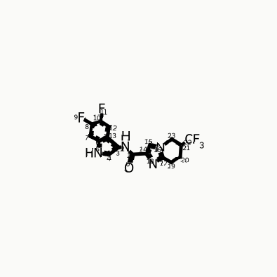 O=C(Nc1c[nH]c2cc(F)c(F)cc12)c1cn2c(n1)CCC(C(F)(F)F)C2